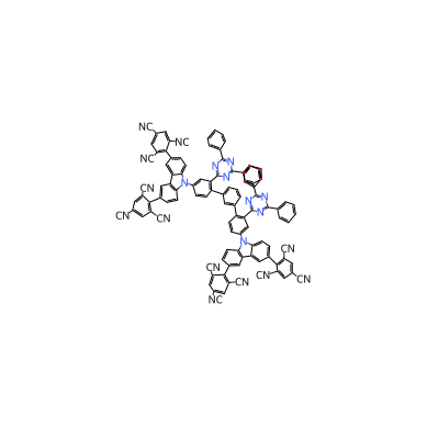 [C-]#[N+]c1cc(C#N)c(-c2ccc3c(c2)c2cc(-c4c(C#N)cc(C#N)cc4[N+]#[C-])ccc2n3-c2ccc(-c3cccc(-c4ccc(-n5c6ccc(-c7c(C#N)cc([N+]#[C-])cc7C#N)cc6c6cc(-c7c(C#N)cc(C#N)cc7[N+]#[C-])ccc65)cc4-c4nc(-c5ccccc5)nc(-c5ccccc5)n4)c3)c(-c3nc(-c4ccccc4)nc(-c4ccccc4)n3)c2)c(C#N)c1